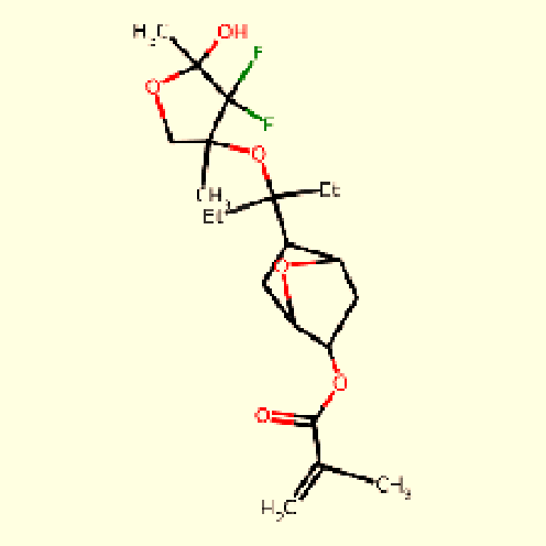 C=C(C)C(=O)OC1CC2OC1CC2C(CC)(CC)OC1(C)COC(C)(O)C1(F)F